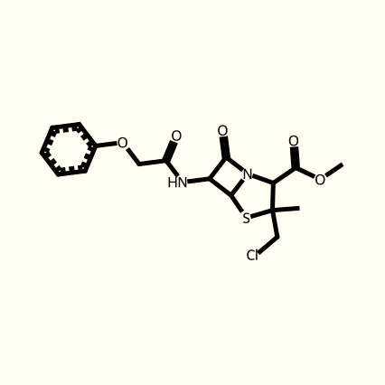 COC(=O)C1N2C(=O)C(NC(=O)COc3ccccc3)C2SC1(C)CCl